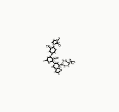 Cc1cc(-c2ccc(-n3ccn(C)c3=O)c(Cl)c2)c(O)c(-c2cc(N3CCN(C(C)(C)C)CC3)c3nccn3c2)n1